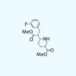 COC(=O)C1CCC(C(Cc2cccc(F)c2)C(=O)OC)NC1